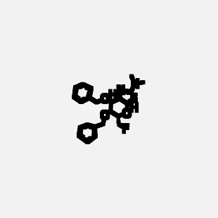 CN(C)C1=N[C@@H]2[C@@H](OCc3ccccc3)[C@H](OCc3ccccc3)[C@@H](CF)O[C@@H]2S1